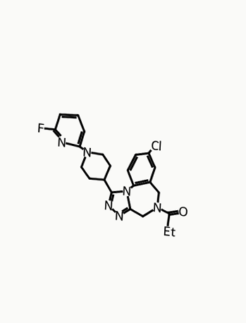 CCC(=O)N1Cc2cc(Cl)ccc2-n2c(nnc2C2CCN(c3cccc(F)n3)CC2)C1